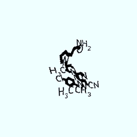 Cc1cc(Cl)ccc1C(C)n1nc(C#N)c2ncc(N3CCC(N4CCCC4CCC(N)=O)C(C)C3)nc21